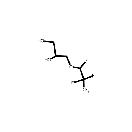 OCC(O)COC(F)C(F)(F)C(F)(F)F